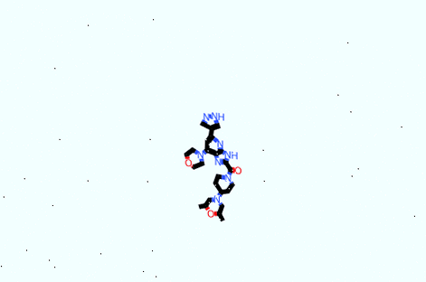 CC1CN(C2CCN(C(=O)c3nc4c(N5CCOCC5)cc(-c5cn[nH]c5)nc4[nH]3)CC2)CC(C)O1